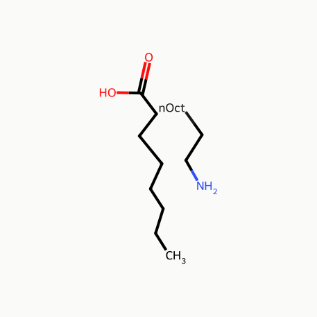 CCCCCCCC(=O)O.CCCCCCCCCCN